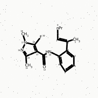 CCCC=C(C)c1ccccc1NC(=O)c1c(C)nn(C)c1F